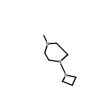 CN1CCN(N2CCC2)CC1